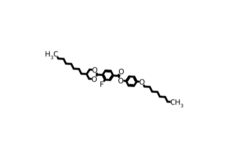 CCCCCCCCOc1ccc(OC(=O)c2ccc(C3OCC(CCCCCCCC)CO3)c(F)c2)cc1